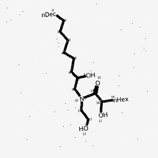 CCCCCCCCCCCCCCCCC(O)CN(CCO)C(=O)C(O)CCCCCC